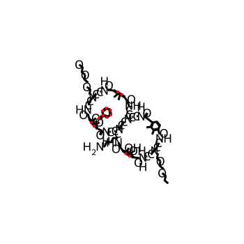 CCCOCCOCCN1CCNC(=O)c2ccc(c(C)c2C)C(=O)NCCN2CCNC(=O)c3ccc(c(C)c3C)C(=O)NCCN(CCOCCOCCOC)CCNC(=O)c3ccc(c(OCc4ccccc4)c3OCc3ccccc3)C(=O)NCCN(CC2)CC(CCCCN)NC(=O)c2ccc(c(O)c2O)C(=O)NCC1